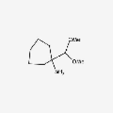 COC(OC)C1([SiH3])CCCCC1